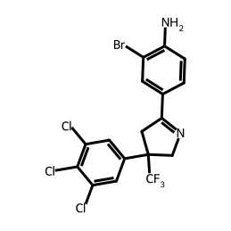 Nc1ccc(C2=NCC(c3cc(Cl)c(Cl)c(Cl)c3)(C(F)(F)F)C2)cc1Br